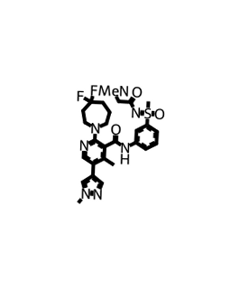 CNCC(=O)N=S(C)(=O)c1cccc(NC(=O)c2c(N3CCCC(F)(F)CC3)ncc(-c3cnn(C)c3)c2C)c1